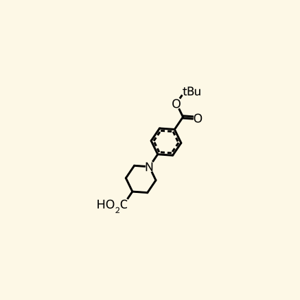 CC(C)(C)OC(=O)c1ccc(N2CCC(C(=O)O)CC2)cc1